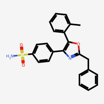 Cc1ccccc1-c1oc(Cc2ccccc2)nc1-c1ccc(S(N)(=O)=O)cc1